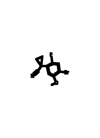 COc1cc(C2(C#N)CC2)c(F)cc1Br